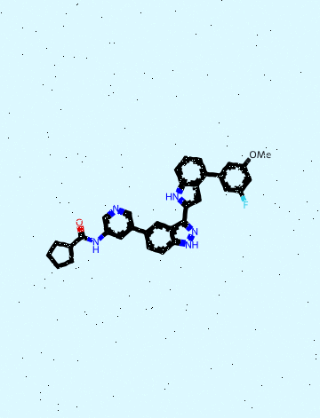 COc1cc(F)cc(-c2cccc3[nH]c(-c4n[nH]c5ccc(-c6cncc(NC(=O)C7CCCC7)c6)cc45)cc23)c1